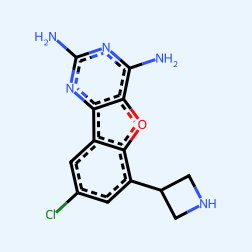 Nc1nc(N)c2oc3c(C4CNC4)cc(Cl)cc3c2n1